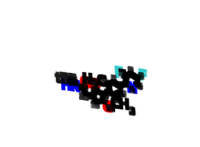 Cc1cc(-c2ncc(F)cc2F)cc(C)c1C1C(=O)CC(CC(=O)NC(C)(C)C)C1=O